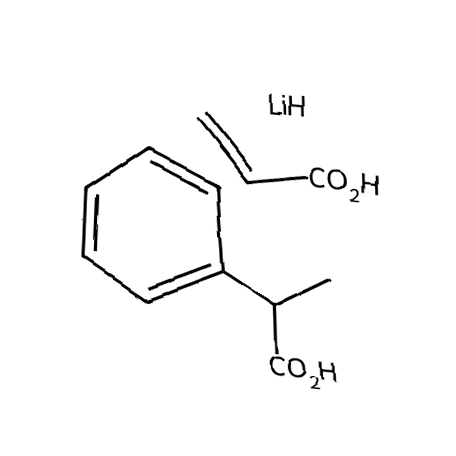 C=CC(=O)O.CC(C(=O)O)c1ccccc1.[LiH]